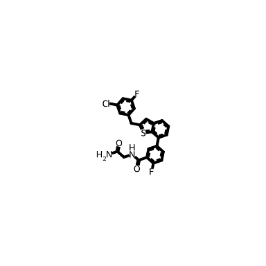 NC(=O)CNC(=O)c1cc(-c2cccc3cc(Cc4cc(F)cc(Cl)c4)sc23)ccc1F